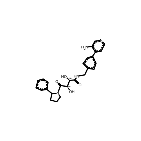 Nc1cnccc1-c1ccc(CNC(=O)[C@H](O)[C@@H](O)C(=O)N2CCCC2c2ccccc2)cc1